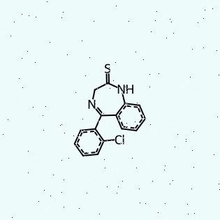 S=C1CN=C(c2ccccc2Cl)c2ccccc2N1